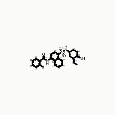 C/C=C1/CC(NS(=O)(=O)c2ccc(NC(=O)c3ccccc3C)c3ccccc23)CCC1=N